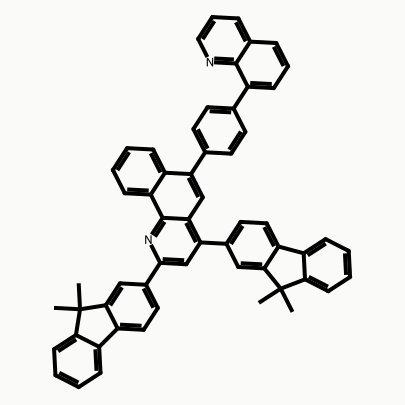 CC1(C)c2ccccc2-c2ccc(-c3cc(-c4ccc5c(c4)C(C)(C)c4ccccc4-5)c4cc(-c5ccc(-c6cccc7cccnc67)cc5)c5ccccc5c4n3)cc21